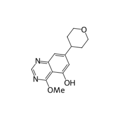 COc1ncnc2cc(C3CCOCC3)cc(O)c12